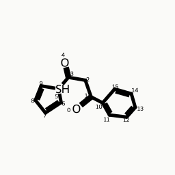 O=C(CC(=O)[SH]1C=CC=C1)c1ccccc1